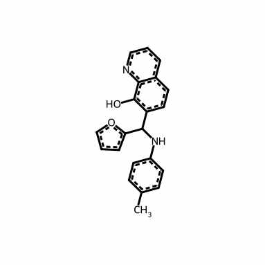 Cc1ccc(NC(c2ccco2)c2ccc3cccnc3c2O)cc1